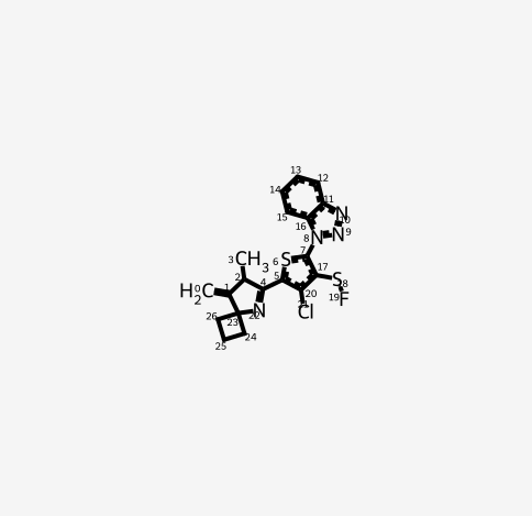 C=C1C(C)C(c2sc(-n3nnc4ccccc43)c(SF)c2Cl)=NC12CCC2